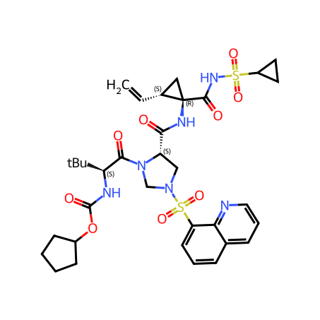 C=C[C@@H]1C[C@]1(NC(=O)[C@@H]1CN(S(=O)(=O)c2cccc3cccnc23)CN1C(=O)[C@@H](NC(=O)OC1CCCC1)C(C)(C)C)C(=O)NS(=O)(=O)C1CC1